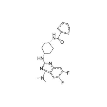 CN(C)c1nc(N[C@H]2CC[C@@H](NC(=O)c3ccccc3)CC2)nc2cc(F)c(F)cc12